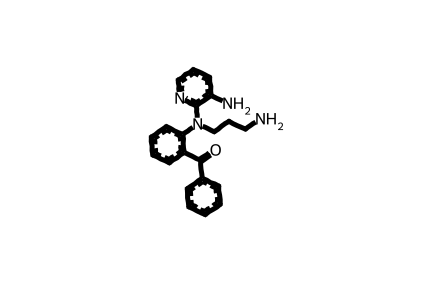 NCCCN(c1ccccc1C(=O)c1ccccc1)c1ncccc1N